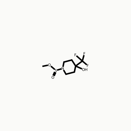 COS(=O)N1CCC(O)(C(F)(F)F)CC1